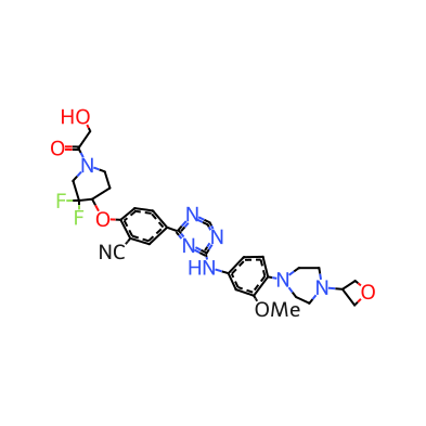 COc1cc(Nc2ncnc(-c3ccc(OC4CCN(C(=O)CO)CC4(F)F)c(C#N)c3)n2)ccc1N1CCN(C2COC2)CC1